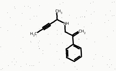 C=C(CNC(C)C#CC)c1ccccc1